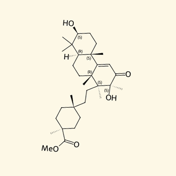 COC(=O)[C@]1(C)CC[C@@](C)(CC[C@]2(C)[C@](C)(O)C(=O)C=C3[C@@]4(C)CC[C@H](O)C(C)(C)[C@@H]4CC[C@]32C)CC1